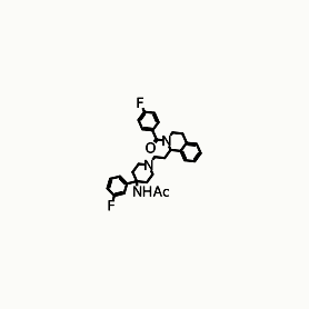 CC(=O)NC1(c2cccc(F)c2)CCN(CCC2c3ccccc3CCN2C(=O)c2ccc(F)cc2)CC1